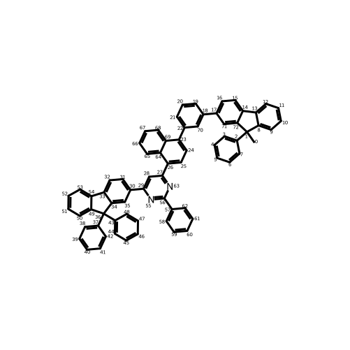 CC1(c2ccccc2)c2ccccc2-c2ccc(-c3cccc(-c4ccc(-c5cc(-c6ccc7c(c6)C(c6ccccc6)(c6ccccc6)c6ccccc6-7)nc(-c6ccccc6)n5)c5ccccc45)c3)cc21